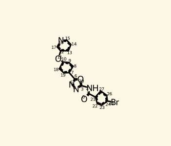 O=C(Nc1nnc(-c2ccc(Oc3cccnc3)cc2)o1)c1ccc(Br)cc1